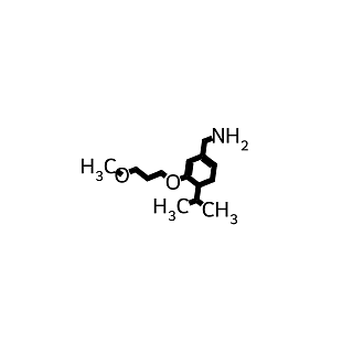 COCCCOC1=CC(CN)=CCC1C(C)C